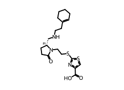 O=C(O)c1csc(SCCN2C(=O)CC[C@@H]2CNCCC2=CCCCC2)n1